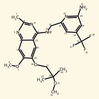 COc1cc2nc(C)nc(NCc3cc(C(F)(F)F)cc(N)n3)c2cc1OCC(C)(C)OC